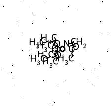 C=C(C#N)C(=O)OCCCC.CCCCCC(CC)(CC)OC(=O)c1ccccc1C(=O)OC(CC)(CC)CCCCC